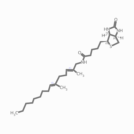 CCCCCCCC/C=C(\C)CC/C=C(\C)CNC(=O)CCCC[C@@H]1SC[C@@H]2NC(=O)N[C@@H]21